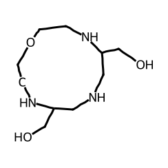 OCC1CNCC(CO)NCCOCCN1